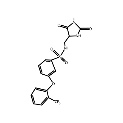 O=C1NC(=O)C(CNS(=O)(=O)c2cccc(Oc3ccccc3C(F)(F)F)c2)N1